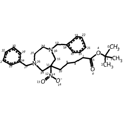 CC(C)(C)OC(=O)CCCCC1([N+](=O)[O-])CN(Cc2ccccc2)CCN(Cc2ccccc2)C1